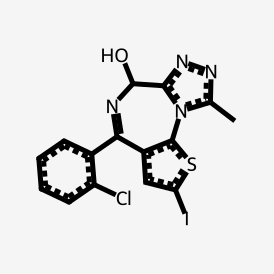 Cc1nnc2n1-c1sc(I)cc1C(c1ccccc1Cl)=NC2O